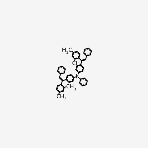 Cc1ccc(C(=Cc2ccccc2)c2ccc(N(c3ccccc3)c3ccc(C(=Cc4ccccc4)c4ccc(C)cc4C)cc3)cc2)c(C)c1